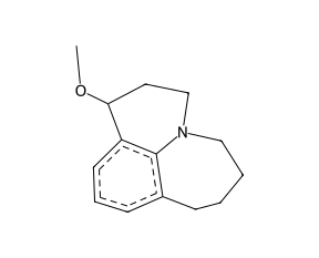 COC1CCN2CCCCc3cccc1c32